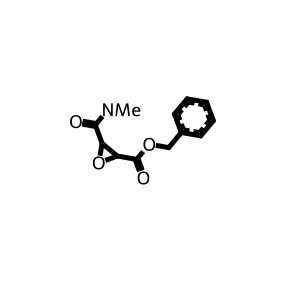 CNC(=O)C1OC1C(=O)OCc1ccccc1